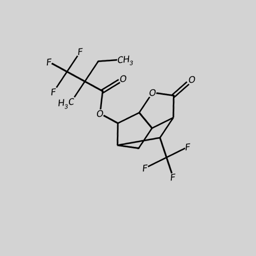 CCC(C)(C(=O)OC1C2CC3C1OC(=O)C3C2C(F)(F)F)C(F)(F)F